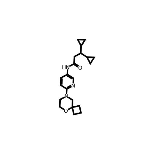 O=C(CC(C1CC1)C1CC1)Nc1ccc(N2CCOC3(CCC3)C2)nc1